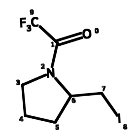 O=C(N1CCCC1CI)C(F)(F)F